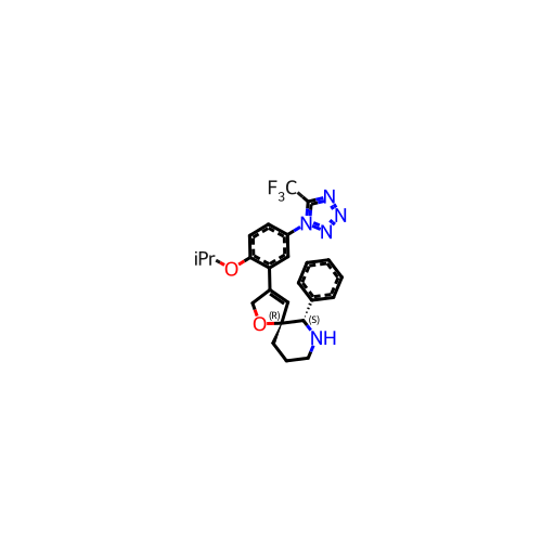 CC(C)Oc1ccc(-n2nnnc2C(F)(F)F)cc1C1=C[C@@]2(CCCN[C@H]2c2ccccc2)OC1